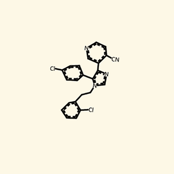 N#Cc1ccncc1-c1ncn(CCc2ccccc2Cl)c1-c1ccc(Cl)cc1